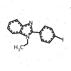 CCn1c(-c2ccc(I)cc2)nc2ccccc21